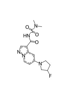 CN(C)S(=O)(=O)NC(=O)c1cnn2ccc(N3CCC(F)C3)cc12